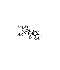 CCc1onc(C(=O)NCC(C)(C)CN(CC)CC)c1C